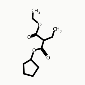 CCOC(=O)[C](CC)C(=O)OC1CCCC1